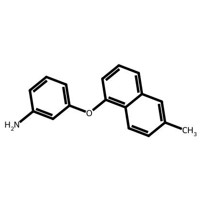 Cc1ccc2c(Oc3cccc(N)c3)cccc2c1